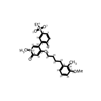 CCS(=O)(=O)c1ccc(F)c(-c2cn(C)c(=O)cc2OCCCCc2cccc(OC)c2C)c1